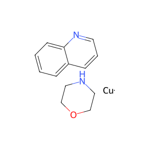 C1COCCN1.[Cu].c1ccc2ncccc2c1